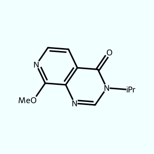 COc1nccc2c(=O)n(C(C)C)cnc12